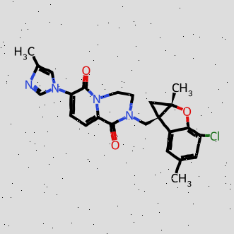 Cc1cc(Cl)c2c(c1)[C@]1(CN3CCn4c(ccc(-n5cnc(C)c5)c4=O)C3=O)C[C@]1(C)O2